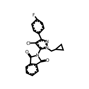 O=C1c2ccccc2C(=O)N1c1c(Cl)c(-c2ccc(F)cc2)nn1CC1CC1